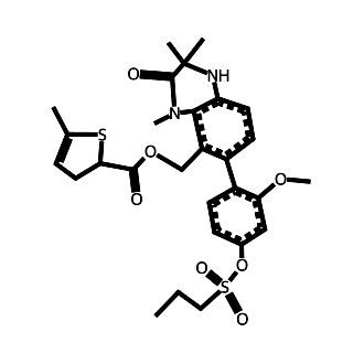 CCCS(=O)(=O)Oc1ccc(-c2ccc3c(c2COC(=O)C2CC=C(C)S2)N(C)C(=O)C(C)(C)N3)c(OC)c1